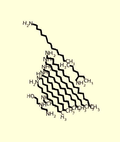 CCCCC(CC)CN.CCCCCCCCCCCCCCCCCCN.CCCCCCCCCCCCCCCCN.CCCCCCCCCCCCCCN.CCCCCCCCCCCCCN.CCCCCCCCCCCCN.CCCCCCCCCCCN.CCCCCCCCCCN.CCN.NCCNCCO